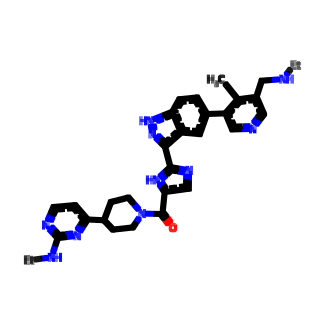 CCNCc1cncc(-c2ccc3[nH]nc(-c4ncc(C(=O)N5CCC(c6ccnc(NCC)n6)CC5)[nH]4)c3c2)c1C